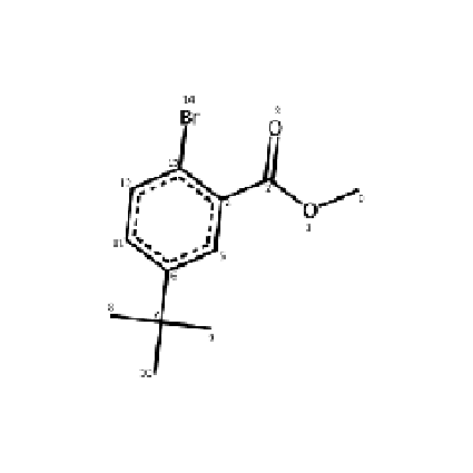 COC(=O)c1cc(C(C)(C)C)ccc1Br